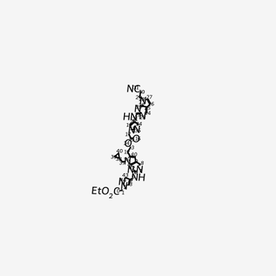 CCOC(=O)Cn1cc(Nc2ncc3cc(CCOC(=O)Cn4cc(Nc5ncc6ccn(CCC#N)c6n5)cn4)n(CC4CC4)c3n2)cn1